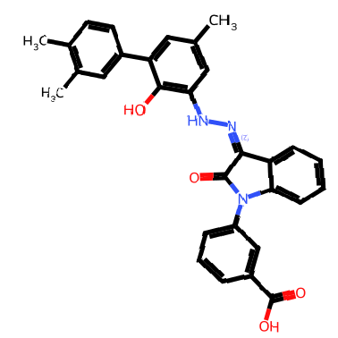 Cc1cc(N/N=C2\C(=O)N(c3cccc(C(=O)O)c3)c3ccccc32)c(O)c(-c2ccc(C)c(C)c2)c1